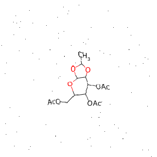 CC(=O)OCC1OC2OC(C)OC2C(OC(C)=O)C1OC(C)=O